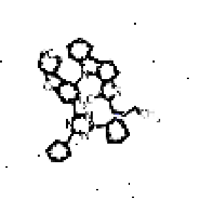 C=C/C=C\c1sc2ccc3c4ccccc4n(-c4cc(-c5nc(-c6ccccc6)nc(-c6ccccc6)n5)cc5oc6ccccc6c45)c3c2c1C